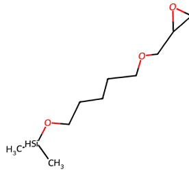 C[SiH](C)OCCCCCOCC1CO1